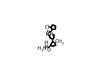 Cc1ccc(C(=O)NN)cc1-c1ccn2c(-c3ccccc3Cl)nnc2c1